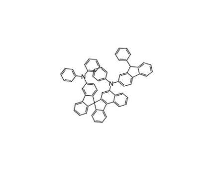 c1ccc(C2c3ccccc3-c3ccc(N(c4ccccc4)c4cc5c(c6ccccc46)-c4ccccc4C54c5ccccc5-c5cc(N(c6ccccc6)c6ccccc6)ccc54)cc32)cc1